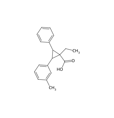 CCC1(C(=O)O)C(c2ccccc2)C1c1cccc(C)c1